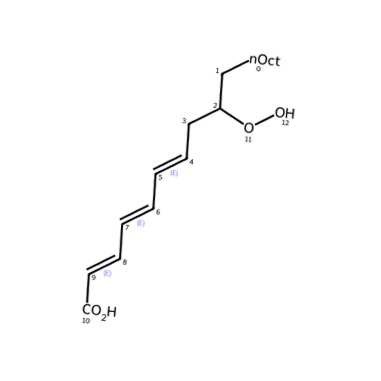 CCCCCCCCCC(C/C=C/C=C/C=C/C(=O)O)OO